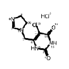 Cl.O=c1[nH]c(CN2C=NCC2)c(Cl)c(=O)[nH]1